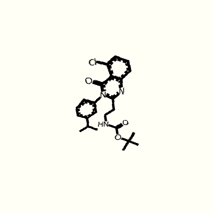 CC(C)c1cccc(-n2c(CCNC(=O)OC(C)(C)C)nc3cccc(Cl)c3c2=O)c1